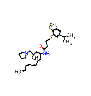 C=C/C=C\C=C/CCC(CC(=C)CN1CCCC1)NC(=O)CCCSc1cc(C(C)C)ccc1N=C